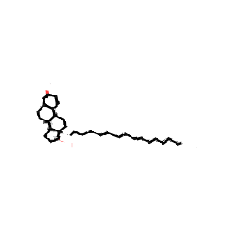 CCCCCCCCCCCCCCCC[C@]12CC[C@@H]3c4ccc(OC)cc4CC[C@H]3[C@@H]1CC[C@@H]2O